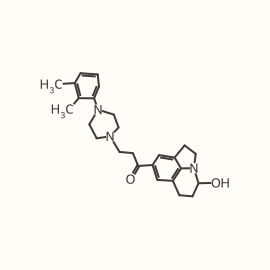 Cc1cccc(N2CCN(CCC(=O)c3cc4c5c(c3)CCN5C(O)CC4)CC2)c1C